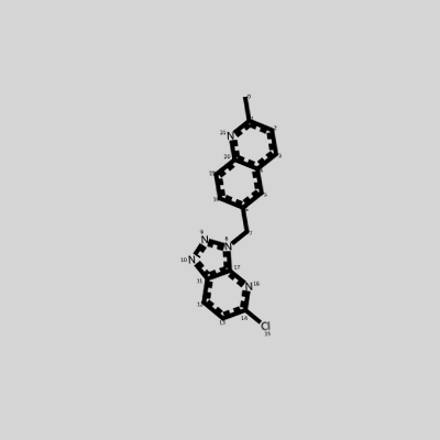 Cc1ccc2cc(Cn3nnc4ccc(Cl)nc43)ccc2n1